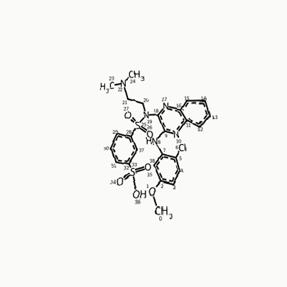 COc1ccc(Cl)c(Nc2nc3ccccc3nc2N(CCN(C)C)S(=O)(=O)c2cccc(S(=O)(=O)O)c2)c1